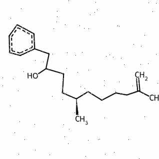 C=C(C)CCCC[C@@H](C)CCC(O)Cc1ccccc1